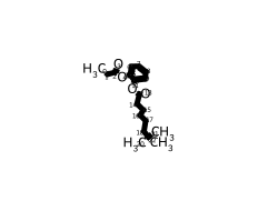 CCC(=O)Oc1ccccc1OC(=O)CCCCCC(C)(C)C